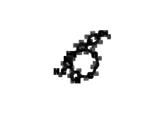 Cc1cnc2nc1-c1ccnc(c1)COC/C=C/COCc1cc(ccc1N1CCN(C)CC1)N2